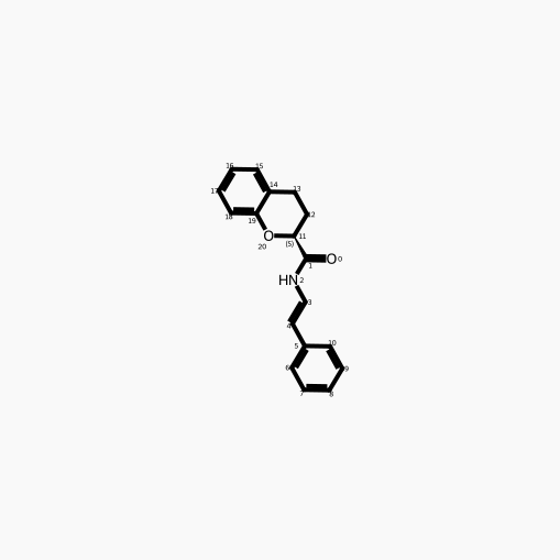 O=C(NC=Cc1ccccc1)[C@@H]1CCc2ccccc2O1